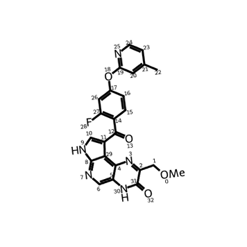 COCc1nc2c(cnc3[nH]cc(C(=O)c4ccc(Oc5cc(C)ccn5)cc4F)c32)[nH]c1=O